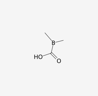 CB(C)C(=O)O